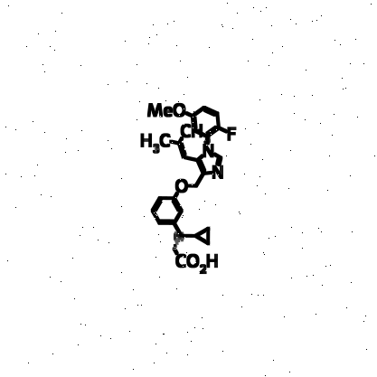 COc1ccc(F)c(-n2cnc(COc3cccc([C@@H](CC(=O)O)C4CC4)c3)c2C=C(C)C)c1